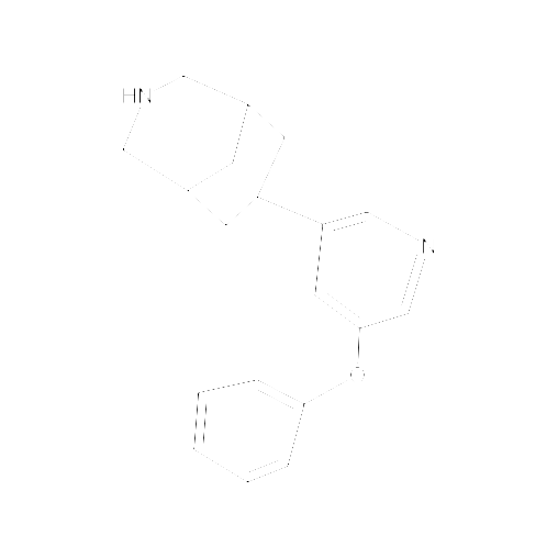 c1ccc(Oc2cncc(C3CC4CNCC(C4)C3)c2)cc1